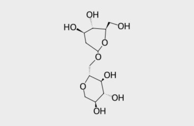 OC[C@H]1O[C@H](OC[C@H]2OC[C@H](O)[C@@H](O)[C@@H]2O)C[C@@H](O)[C@@H]1O